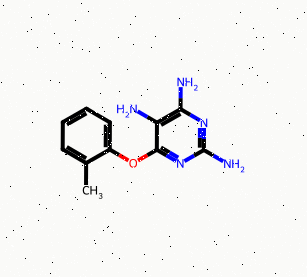 Cc1ccccc1Oc1nc(N)nc(N)c1N